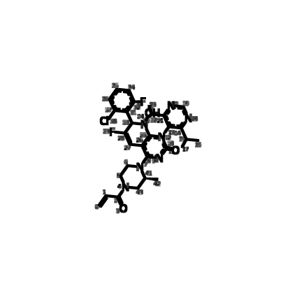 C=CC(=O)N1CCN(c2nc(=O)n(-c3c(C(C)C)ncnc3C(C)C)c3c2C=C(F)C(c2c(F)cccc2Cl)N3O)[C@@H](C)C1